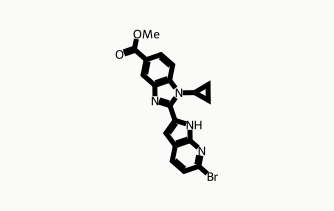 COC(=O)c1ccc2c(c1)nc(-c1cc3ccc(Br)nc3[nH]1)n2C1CC1